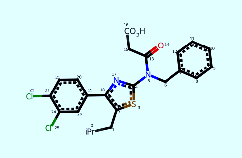 CC(C)Cc1sc(N(Cc2ccccc2)C(=O)CC(=O)O)nc1-c1ccc(Cl)c(Cl)c1